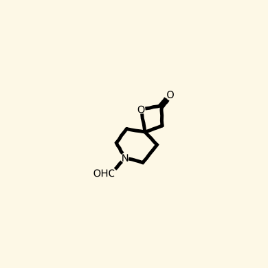 O=CN1CCC2(CC1)CC(=O)O2